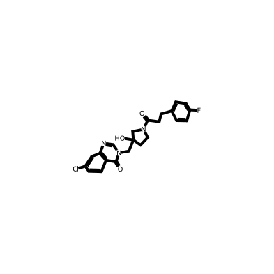 O=C(CCc1ccc(F)cc1)N1CCC(O)(Cn2cnc3cc(Cl)ccc3c2=O)C1